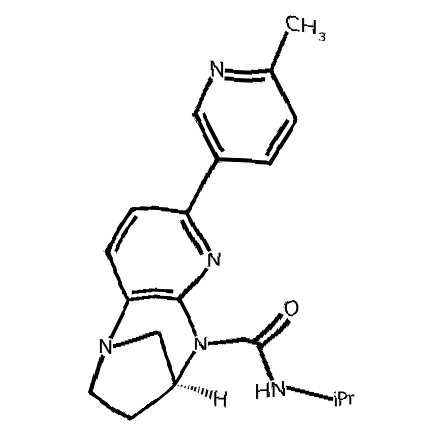 Cc1ccc(-c2ccc3c(n2)N(C(=O)NC(C)C)[C@H]2CCN3C2)cn1